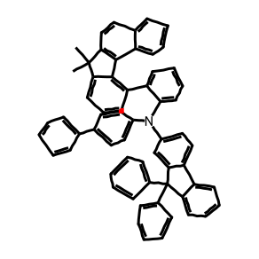 CC1(C)c2cccc(-c3ccccc3N(c3ccc(-c4ccccc4)cc3)c3ccc4c(c3)C(c3ccccc3)(c3ccccc3)c3ccccc3-4)c2-c2c1ccc1ccccc21